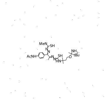 CN/C(S)=N/N=C(/C(C)=N/N=C(\S)NC(C)(C)CCOC(C)(N)C(C)(C)C)c1ccc(NC(C)=O)cc1